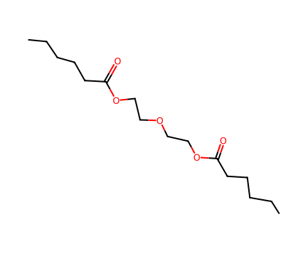 CCCCCC(=O)OCCOCCOC(=O)CCCCC